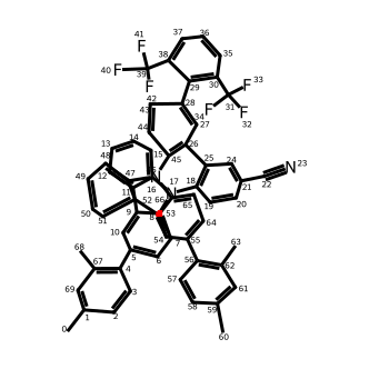 Cc1ccc(-c2ccc3c(c2)c2ccccc2n3-c2ccc(C#N)cc2-c2cc(-c3c(C(F)(F)F)cccc3C(F)(F)F)ccc2-n2c3ccccc3c3cc(-c4ccc(C)cc4C)ccc32)c(C)c1